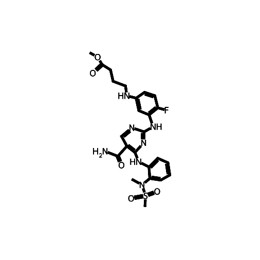 COC(=O)CCCNc1ccc(F)c(Nc2ncc(C(N)=O)c(Nc3ccccc3N(C)S(C)(=O)=O)n2)c1